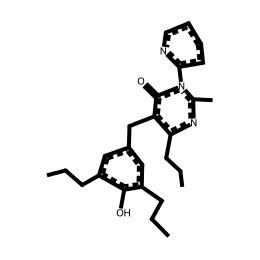 CCCc1cc(Cc2c(CCC)nc(C)n(-c3ccccn3)c2=O)cc(CCC)c1O